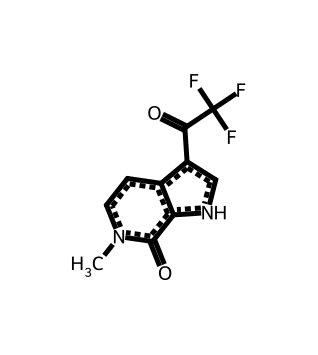 Cn1ccc2c(C(=O)C(F)(F)F)c[nH]c2c1=O